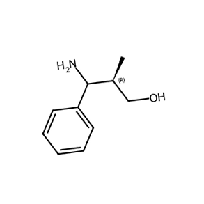 C[C@@H](CO)C(N)c1ccccc1